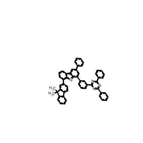 CC1(C)c2ccccc2-c2ccc(-c3cccc4c3oc3c(-c5cccc(-c6nc(-c7ccccc7)nc(-c7ccccc7)n6)c5)cc(-c5ccccc5)cc34)cc21